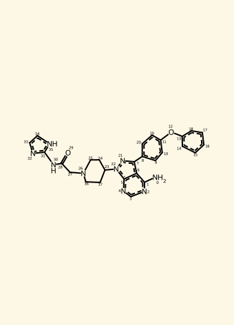 Nc1ncnc2c1c(-c1ccc(Oc3ccccc3)cc1)nn2C1CCN(CC(=O)Nc2ncc[nH]2)CC1